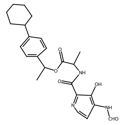 CC(NC(=O)c1nccc(NC=O)c1O)C(=O)OC(C)c1ccc(C2CCCCC2)cc1